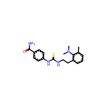 Cc1cccc(CCNC(=S)Nc2ccc(C(N)=O)cc2)c1N(C)C